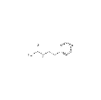 CC(=O)NCCc1ccncc1